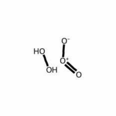 O=[O+][O-].OO